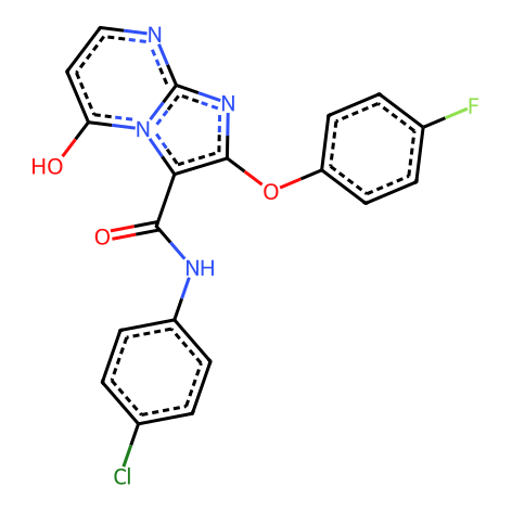 O=C(Nc1ccc(Cl)cc1)c1c(Oc2ccc(F)cc2)nc2nccc(O)n12